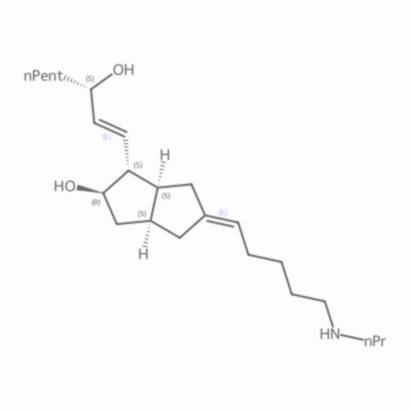 CCCCC[C@H](O)/C=C/[C@@H]1[C@H]2C/C(=C/CCCCNCCC)C[C@H]2C[C@H]1O